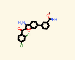 COC(=N)c1cccc(-c2ccc3c(N)c(C(=O)c4ccc(Cl)cc4Cl)oc3c2)c1